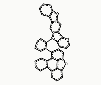 c1ccc(-n2c3cc4c(cc3c3ncccc32)oc2ccccc24)c(-c2ccc3oc4cccc5c6ccccc6c2c3c45)c1